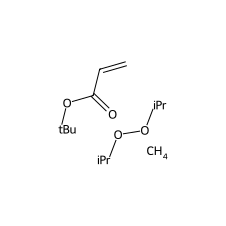 C.C=CC(=O)OC(C)(C)C.CC(C)OOC(C)C